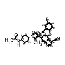 CC(=O)N[C@H]1CC[C@H](n2ncc(-c3cc(Sc4ccc(F)cc4C#N)c4c(C#N)cnn4c3)c2C)CC1